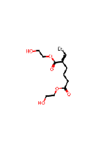 CCC=C(CCCC(=O)OCCO)C(=O)OCCO